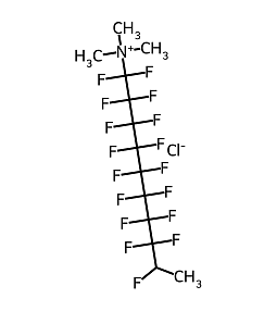 CC(F)C(F)(F)C(F)(F)C(F)(F)C(F)(F)C(F)(F)C(F)(F)C(F)(F)C(F)(F)[N+](C)(C)C.[Cl-]